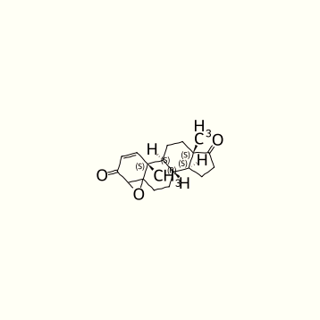 C[C@]12CC[C@H]3[C@@H](CCC45OC4C(=O)C=C[C@]35C)[C@@H]1CCC2=O